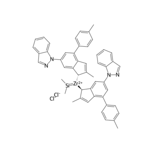 CC1=Cc2c(-c3ccc(C)cc3)cc(-n3ncc4ccccc43)cc2[C@@H]1[Zr+2]([C@H]1C(C)=Cc2c(-c3ccc(C)cc3)cc(-n3ncc4ccccc43)cc21)=[Si](C)C.[Cl-].[Cl-]